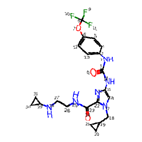 O=C(Nc1ccc(OC(F)(F)F)cc1)Nc1cn(CC2CC2)c(C(=O)NCCNC2CC2)n1